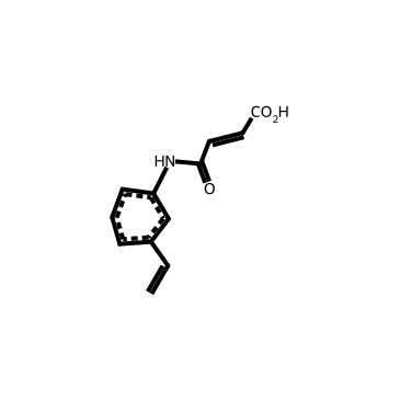 C=Cc1cccc(NC(=O)/C=C/C(=O)O)c1